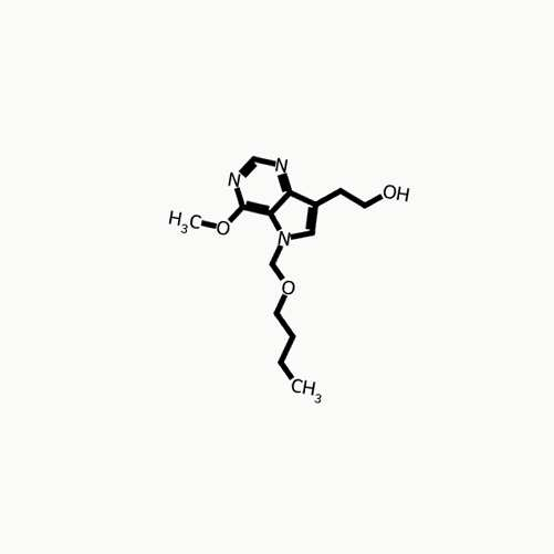 CCCCOCn1cc(CCO)c2ncnc(OC)c21